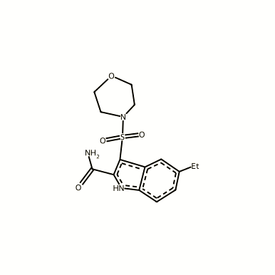 CCc1ccc2[nH]c(C(N)=O)c(S(=O)(=O)N3CCOCC3)c2c1